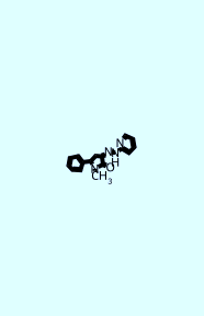 CN1C(=O)/C(=N\Nc2ccccn2)CC1c1ccccc1